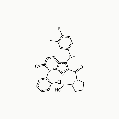 Cc1cc(Nc2c(C(=O)N3CCCC3CO)sc3c2ccc(=O)n3-c2ccccc2Cl)ccc1F